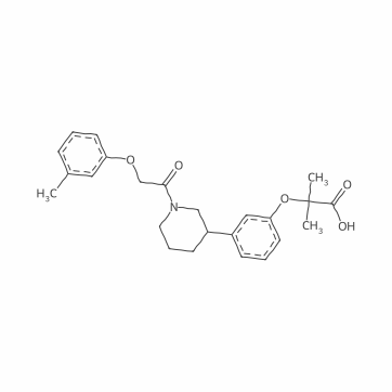 Cc1cccc(OCC(=O)N2CCCC(c3cccc(OC(C)(C)C(=O)O)c3)C2)c1